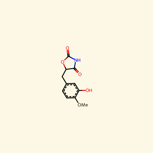 COc1ccc(CC2OC(=O)NC2=O)cc1O